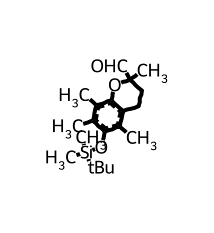 Cc1c(C)c2c(c(C)c1O[Si](C)(C)C(C)(C)C)CCC(C)(C=O)O2